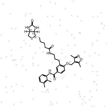 Cc1cccc(NC(=O)c2ccc(OCc3c(C)noc3C)c(CCCNC(=O)CCCC[C@@H]3SC[C@@H]4NC(=O)N[C@@H]43)c2)c1C